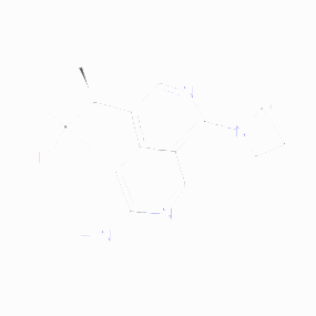 C[C@@H]1CCN1c1ncc([C@H](C)C(C)(C)O)c2cc(N)ncc12